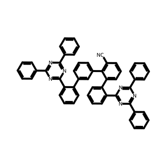 N#Cc1cccc(-c2ccccc2-c2nc(-c3ccccc3)nc(-c3ccccc3)n2)c1-c1cccc(-c2ccccc2-c2nc(-c3ccccc3)nc(-c3ccccc3)n2)c1